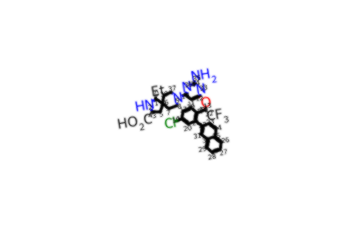 CCC1NC(C(=O)O)CC12CCN(c1cc(O[C@H](c3ccc(Cl)cc3-c3ccc4ccccc4c3)C(F)(F)F)nc(N)n1)CC2